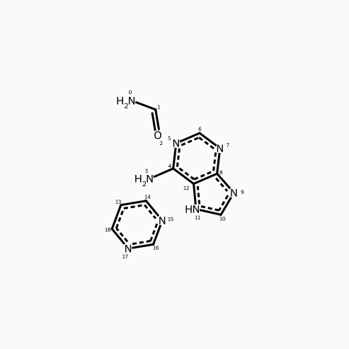 NC=O.Nc1ncnc2nc[nH]c12.c1cncnc1